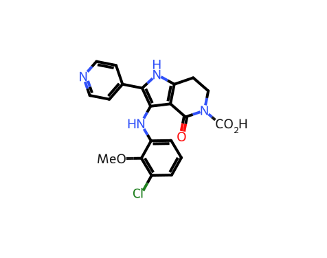 COc1c(Cl)cccc1Nc1c(-c2ccncc2)[nH]c2c1C(=O)N(C(=O)O)CC2